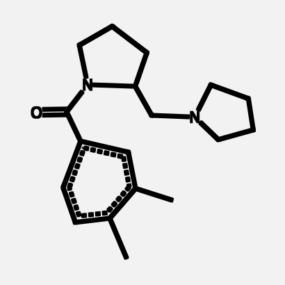 Cc1ccc(C(=O)N2CCCC2CN2CCCC2)cc1C